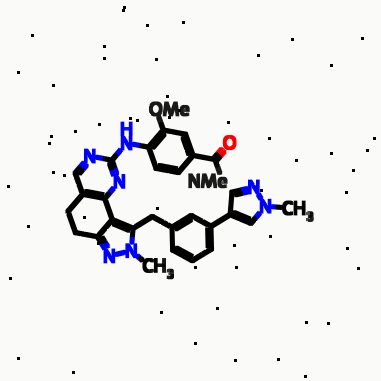 CNC(=O)c1ccc(Nc2ncc3c(n2)-c2c(nn(C)c2Cc2cccc(-c4cnn(C)c4)c2)CC3)c(OC)c1